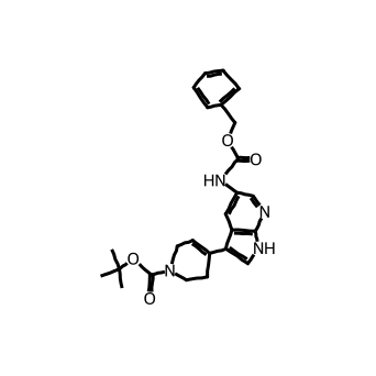 CC(C)(C)OC(=O)N1CC=C(c2c[nH]c3ncc(NC(=O)OCc4ccccc4)cc23)CC1